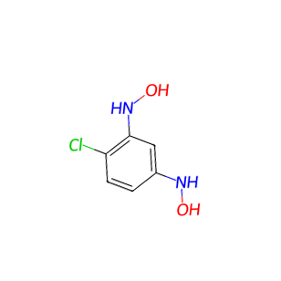 ONc1ccc(Cl)c(NO)c1